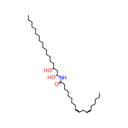 CCCCC/C=C\C/C=C\CCCCCCCC(=O)NC(O)CC(O)CCCCCCCCCCCCCCC